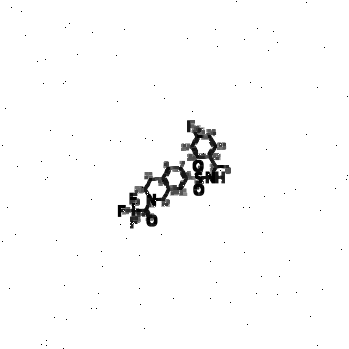 CC(NS(=O)(=O)c1ccc2c(c1)CN(C(=O)C(F)(F)F)CC2)c1ccc(F)cc1